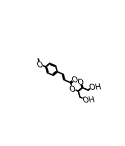 COc1ccc(/C=C/C(=O)OC(CO)C(=O)CO)cc1